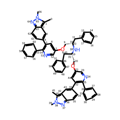 Cc1c2cc(-c3cc(OC[C@H](Cc4ccccc4)N[C@H](COc4cnc(-c5ccccc5)c(-c5ccc6nn(C)c(C)c6c5)c4)Cc4ccccc4)cnc3-c3ccccc3)ccc2nn1C